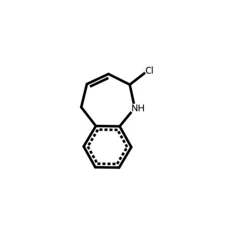 ClC1C=CCc2ccccc2N1